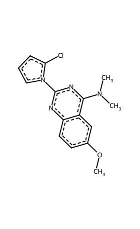 COc1ccc2nc(-n3cccc3Cl)nc(N(C)C)c2c1